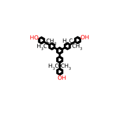 CC(C)(c1ccc(O)cc1)c1ccc(-c2cc(-c3ccc(C(C)(C)c4ccc(O)cc4)cc3)cc(-c3ccc(C(C)(C)c4ccc(O)cc4)cc3)c2)cc1